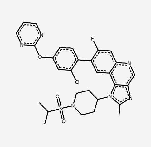 Cc1nc2cnc3cc(F)c(-c4ccc(Oc5ncccn5)cc4Cl)cc3c2n1C1CCN(S(=O)(=O)C(C)C)CC1